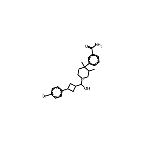 CC1CN(C(O)C2CC(c3ccc(Br)cc3)C2)CCC1(C)c1cccc(C(N)=O)c1